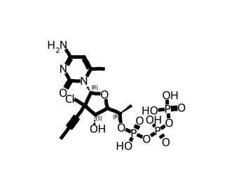 CC#CC1(Cl)[C@@H](O)C([C@@H](C)OP(=O)(O)OP(=O)(O)OP(=O)(O)O)O[C@H]1n1c(C)cc(N)nc1=O